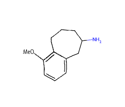 COc1cccc2c1CCCC(N)C2